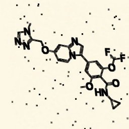 COc1cc(-c2cnc3cc(OCc4nncn4C)ccn23)cc(OC(F)F)c1C(=O)NC1CC1